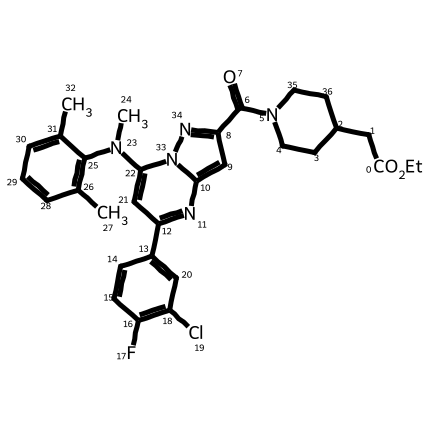 CCOC(=O)CC1CCN(C(=O)c2cc3nc(-c4ccc(F)c(Cl)c4)cc(N(C)c4c(C)cccc4C)n3n2)CC1